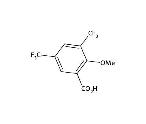 COc1c(C(=O)O)cc(C(F)(F)F)cc1C(F)(F)F